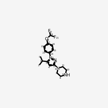 CC(C)c1cc(N2CCNCC2)nn1-c1ccc(OC(F)F)cc1